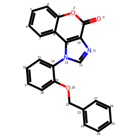 O=c1oc2ccccc2c2c1ncn2-c1ccccc1OCc1ccccc1